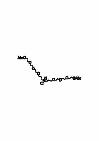 COCCOCCOCCOCCC[Si](Cl)(Cl)CCCOCCOCCOCCOC